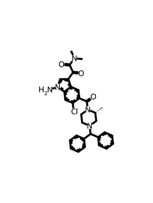 C[C@@H]1CN(C(c2ccccc2)c2ccccc2)CCN1C(=O)c1cc2c(C(=O)C(=O)N(C)C)cn(N)c2cc1Cl